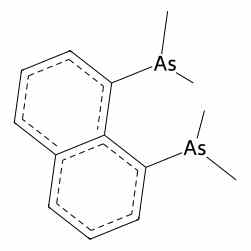 C[As](C)c1cccc2cccc([As](C)C)c12